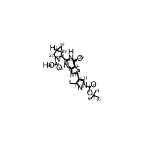 Cc1nn(C(=O)OC(C)(C)C)cc1-c1cc2nc(C3C4C[C@@H]4CN3C(=O)O)[nH]c(=O)c2s1